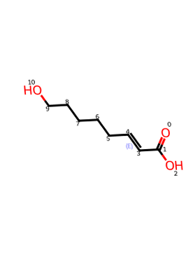 O=C(O)/C=C/CCCCCO